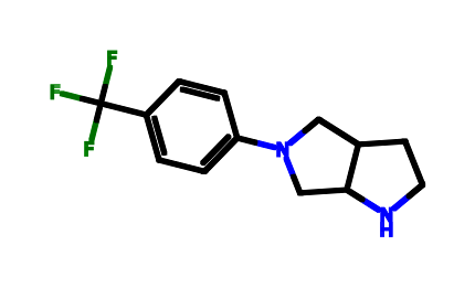 FC(F)(F)c1ccc(N2CC3CCNC3C2)cc1